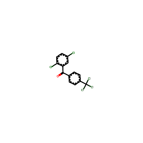 O=C(c1ccc(C(Cl)(Cl)Cl)cc1)c1cc(Cl)ccc1Cl